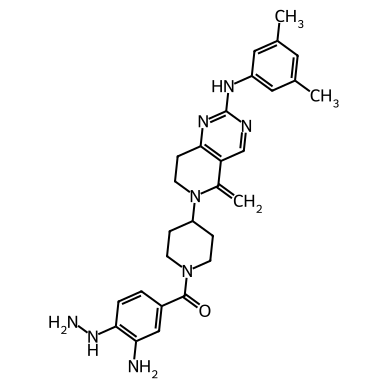 C=C1c2cnc(Nc3cc(C)cc(C)c3)nc2CCN1C1CCN(C(=O)c2ccc(NN)c(N)c2)CC1